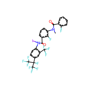 CN(C(=O)c1ccccc1F)c1cccc(C(=O)N(I)c2ccc(C(F)(C(F)(F)F)C(F)(F)F)cc2C(F)(F)F)c1F